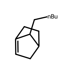 CCCCCC1C2=CCC1CC2